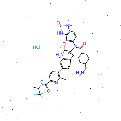 Cc1nc(C(=O)NC(C)C(F)(F)F)ccc1-c1ccc(C[C@@H](C(N)=O)N(c2ccc3[nH]c(=O)[nH]c3c2)C(=O)[C@H]2CC[C@H](CN)CC2)cc1.Cl